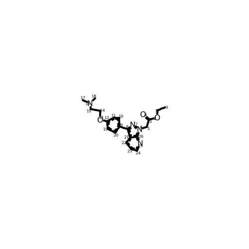 CCOC(=O)Cn1nc(-c2ccc(OCCN(C)C)cc2)c2cccnc21